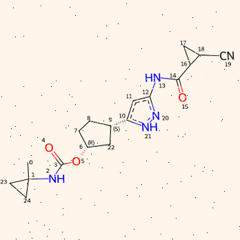 CC1(NC(=O)O[C@@H]2CC[C@H](c3cc(NC(=O)C4CC4C#N)n[nH]3)C2)CC1